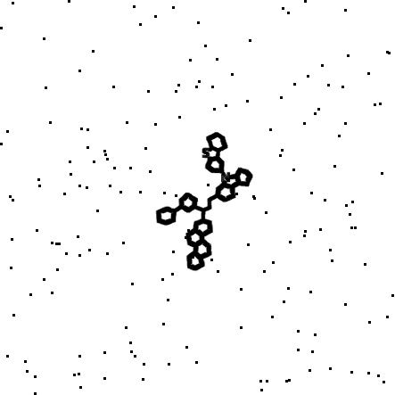 C1=CC2Sc3ccc(-n4c5ccccc5c5ccc(CCC(c6cccc(-c7ccccc7)c6)c6ccc7c(ccc8c9ccccc9ccc78)c6)cc54)cc3C2C=C1